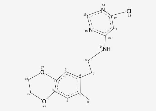 Cc1cc2c(cc1CCNc1cc(Cl)ncn1)OCCO2